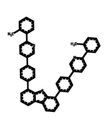 Cc1ccccc1-c1ccc(-c2ccc(-c3cccc4c3sc3c(-c5ccc(-c6ccc(-c7ccccc7C)nc6)cc5)cccc34)cc2)cn1